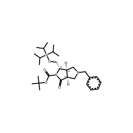 CC(C)[Si](OC[C@@H]1[C@H]2CN(Cc3ccccc3)C[C@H]2C(=O)N1C(=O)OC(C)(C)C)(C(C)C)C(C)C